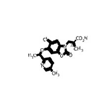 Cc1ccc(C(C)Oc2cc3oc(=O)n(C[C@H](C)C(=O)O)c3cc2Cl)nc1